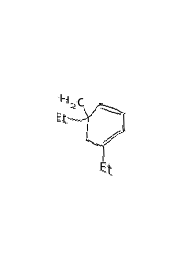 [CH2]C1(CC)C=CC=C(CC)C1